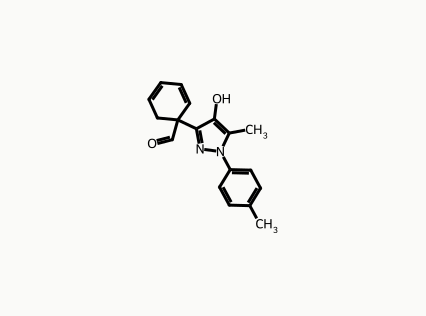 Cc1ccc(-n2nc(C3(C=O)C=CC=CC3)c(O)c2C)cc1